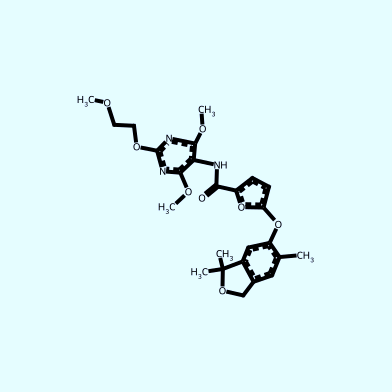 COCCOc1nc(OC)c(NC(=O)c2ccc(Oc3cc4c(cc3C)COC4(C)C)o2)c(OC)n1